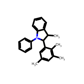 Cc1cc(C)c(C)c(C2C(C)c3ccccc3N2c2ccccc2)c1